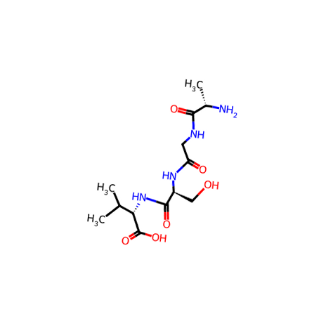 CC(C)[C@H](NC(=O)[C@H](CO)NC(=O)CNC(=O)[C@H](C)N)C(=O)O